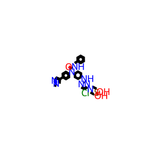 Cn1cc(-c2ccc(N(C(=O)NCc3ccccc3)C3CCC(Nc4ncc(Cl)c(N5CCS(O)(O)CC5)n4)CC3)cc2)cn1